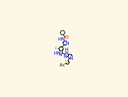 CC(=O)c1ccc(-c2nccc3[nH]c(-c4n[nH]c5c(F)cc(-c6cncc(NC(=O)C7CCCCC7)c6)cc45)nc23)s1